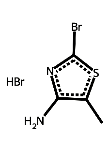 Br.Cc1sc(Br)nc1N